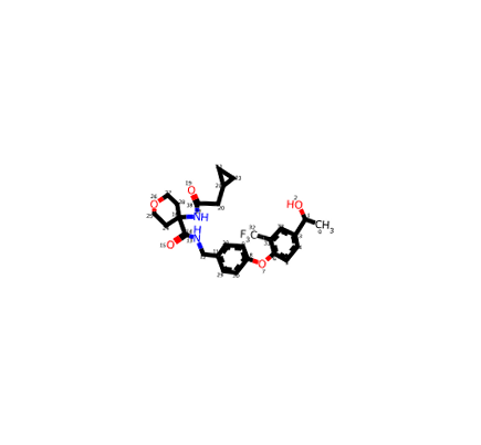 CC(O)c1ccc(Oc2ccc(CNC(=O)C3(NC(=O)CC4CC4)CCOCC3)cc2)c(C(F)(F)F)c1